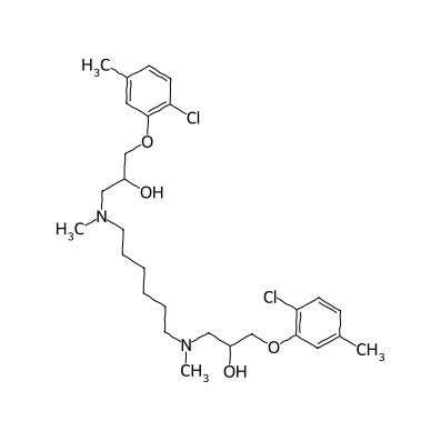 Cc1ccc(Cl)c(OCC(O)CN(C)CCCCCCN(C)CC(O)COc2cc(C)ccc2Cl)c1